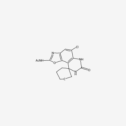 CC(=O)Nc1nc2cc(Cl)c3c(c2o1)C1(CCCCC1)NC(=O)N3